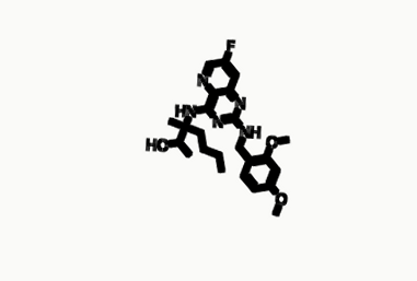 CCCCC(C)(Nc1nc(NCc2ccc(OC)cc2OC)nc2cc(F)cnc12)C(C)O